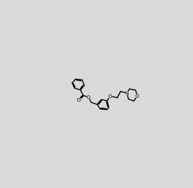 O=C(OCc1cccc(OCCN2CCOCC2)c1)c1ccccc1